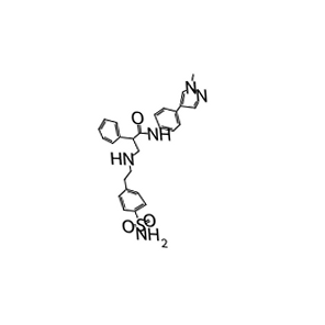 Cn1cc(-c2ccc(NC(=O)C(CNCCc3ccc(S(N)(=O)=O)cc3)c3ccccc3)cc2)cn1